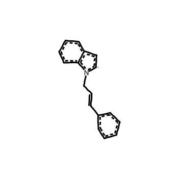 [c]1cc2ccccc2n1CC=Cc1ccccc1